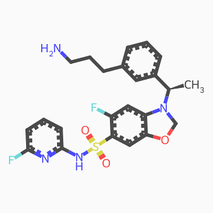 C[C@H](c1cccc(CCCN)c1)N1COc2cc(S(=O)(=O)Nc3cccc(F)n3)c(F)cc21